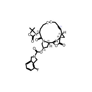 CC1(C)OC(=O)N1[C@H]1CCCCC/C=C\[C@@H]2C[C@@]23N=C(OC3=O)[C@@H]2C[C@@H](OC(=O)N3Cc4cccc(F)c4C3)CN2C1=O